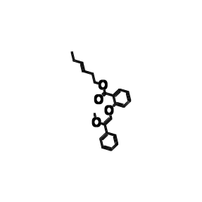 CCC=CCCOC(=O)c1ccccc1OC=C(OC)c1ccccc1